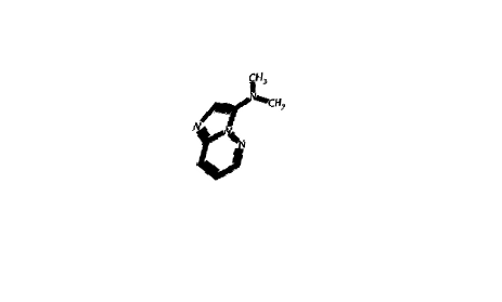 CN(C)c1cnc2cccnn12